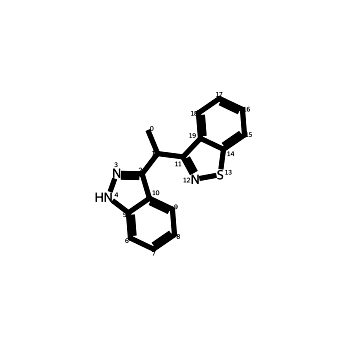 C[C](c1n[nH]c2ccccc12)c1nsc2ccccc12